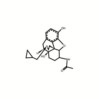 CC(=O)NC1CC[C@]2(O)[C@@H]3Cc4ccc(O)c5c4[C@]2(CCN3CC2CC2)C1O5